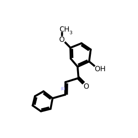 COc1ccc(O)c(C(=O)/C=C/c2ccccc2)c1